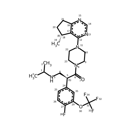 CC(C)NC[C@@H](C(=O)N1CCN(c2ncnc3c2[C@H](C)CC3)CC1)c1ccc(F)c(OC(F)(F)F)c1